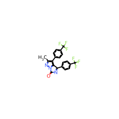 Cc1nn2c(c1-c1ccc(C(F)(F)F)cc1)C(c1ccc(C(F)(F)F)cc1)=NC2=O